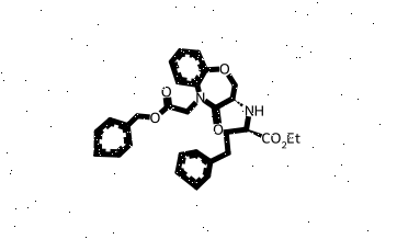 CCOC(=O)[C@@H](CCc1ccccc1)N[C@H]1COc2ccccc2N(CC(=O)OCc2ccccc2)C1=O